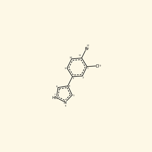 Clc1cc(-c2cn[nH]c2)ccc1Br